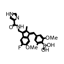 COc1cc(/C=C2/C(C)=C(CNC(=O)c3c[nH]cn3)c3cc(F)ccc32)cc(OC)c1B(O)O